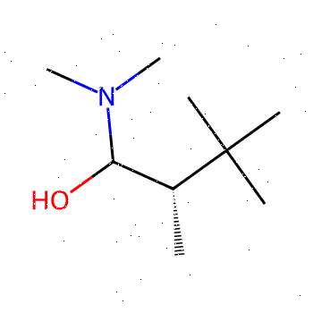 C[C@H](C(O)N(C)C)C(C)(C)C